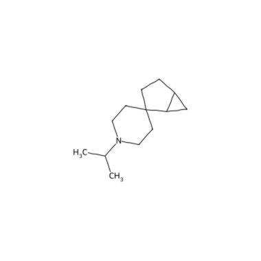 CC(C)N1CCC2(CCC3CC32)CC1